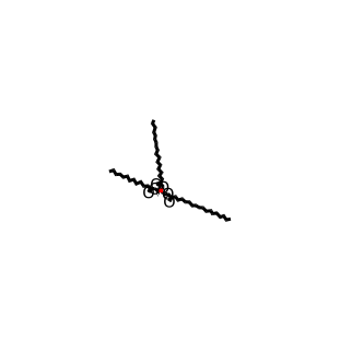 CCCCCCCCCCCCCCCCCC(=O)OC[C@@H](COC(=O)CCCCCCCCCCCC)OC(=O)CCCCCCCCCCCCCCCCC